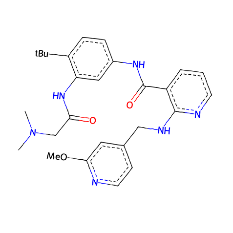 COc1cc(CNc2ncccc2C(=O)Nc2ccc(C(C)(C)C)c(NC(=O)CN(C)C)c2)ccn1